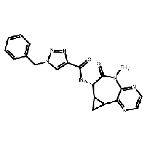 CN1C(=O)[C@@H](NC(=O)c2cn(Cc3ccccc3)nn2)C2CC2c2nccnc21